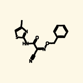 Cc1csc(NC(=O)C(C#N)=NOCc2ccccc2)n1